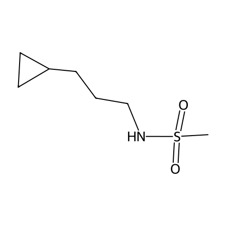 CS(=O)(=O)NCCCC1CC1